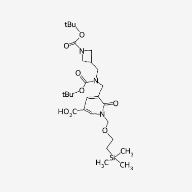 CC(C)(C)OC(=O)N(Cc1cc(C(=O)O)cn(COCC[Si](C)(C)C)c1=O)CC1CN(C(=O)OC(C)(C)C)C1